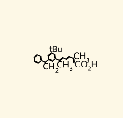 C=C(c1ccccc1)c1cc(C(C)=CC=CC(C)=CC(=O)O)cc(C(C)(C)C)c1